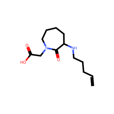 C=CCCCNC1CCCCN(CC(=O)O)C1=O